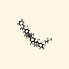 CC(C)COc1cc(C(=O)Nc2ccc(C(=O)NC3CCCCC3)cc2OCC(C)C)ccc1NC(=O)c1ccc(F)c(OCCO)c1